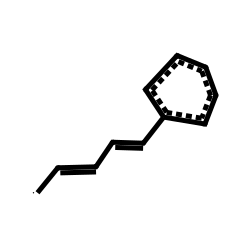 [CH2]C=CC=Cc1ccccc1